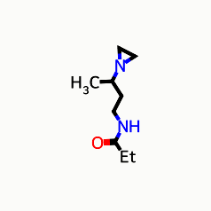 CCC(=O)NCCC(C)N1CC1